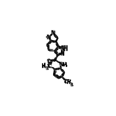 Cc1ccc(C)c(NC(=O)c2n[nH]c3c4c(ccc23)[N]N=C4)c1